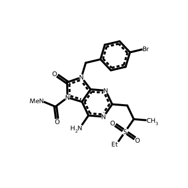 CCS(=O)(=O)C(C)Cc1nc(N)c2c(n1)n(Cc1ccc(Br)cc1)c(=O)n2C(=O)NC